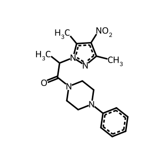 Cc1nn(C(C)C(=O)N2CCN(c3ccccc3)CC2)c(C)c1[N+](=O)[O-]